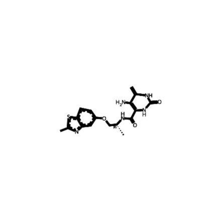 C=C1NC(=O)NC(C(=O)N[C@H](C)COc2ccc3sc(C)nc3c2)=C1N